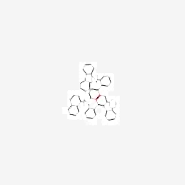 c1ccc(N(c2ccc(-c3ccccc3-n3c4ccccc4c4ccccc43)cc2)c2cccc3ccccc23)c(-c2cccc3oc4ccccc4c23)c1